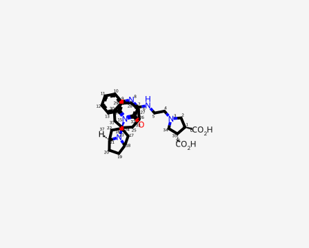 O=C(O)[C@@H]1CN(CCNc2nc3ccccc3n([C@H]3CC4CC[C@@H](C3)N4C3CCCCCCC3)c2=O)C[C@H]1C(=O)O